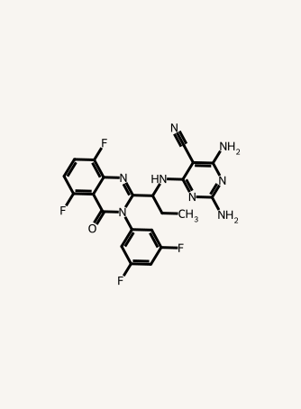 CCC(Nc1nc(N)nc(N)c1C#N)c1nc2c(F)ccc(F)c2c(=O)n1-c1cc(F)cc(F)c1